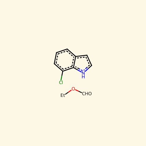 CCOC=O.Clc1cccc2cc[nH]c12